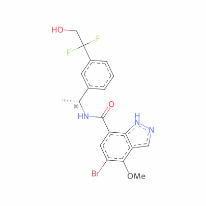 COc1c(Br)cc(C(=O)N[C@H](C)c2cccc(C(F)(F)CO)c2)c2[nH]ncc12